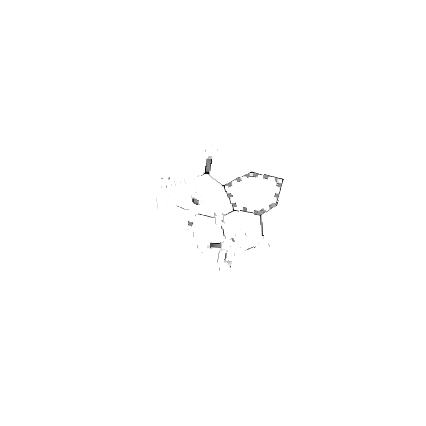 COC(=O)c1cccc(OC(F)(F)F)c1N(S(C)(=O)=O)S(C)(=O)=O